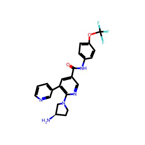 N[C@@H]1CCN(c2ncc(C(=O)Nc3ccc(OC(F)(F)F)cc3)cc2-c2cccnc2)C1